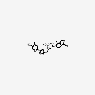 Cc1cc(-n2cc(CNC[C@H](NC(=O)O)c3ccc4c(c3C)COC4=O)cn2)ncc1C#N